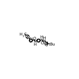 CN1CCN(c2cccc(C(=O)Nc3ccc(NC(=O)Nc4cc(C(C)(C)C)on4)cc3)n2)CC1